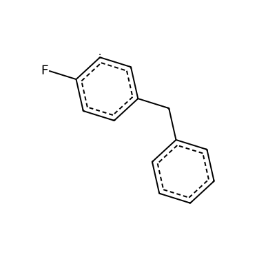 Fc1[c]cc(Cc2ccccc2)cc1